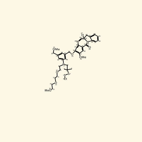 CCSSC(C)(C)CN(CCOCCOCCOC)c1cc(COC)cc(COc2cc3c(cc2OC)C(=O)N2c4ccccc4C[C@H]2C=N3)c1